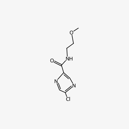 COCCNC(=O)c1cnc(Cl)cn1